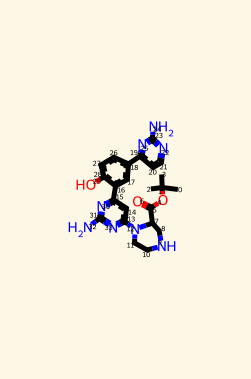 CC(C)(C)OC(=O)C1CNCCN1c1cc(-c2cc(-c3ccnc(N)n3)ccc2O)nc(N)n1